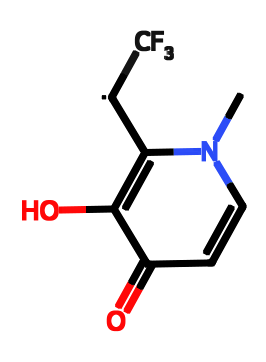 Cn1ccc(=O)c(O)c1[CH]C(F)(F)F